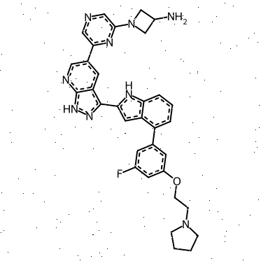 NC1CN(c2cncc(-c3cnc4[nH]nc(-c5cc6c(-c7cc(F)cc(OCCN8CCCC8)c7)cccc6[nH]5)c4c3)n2)C1